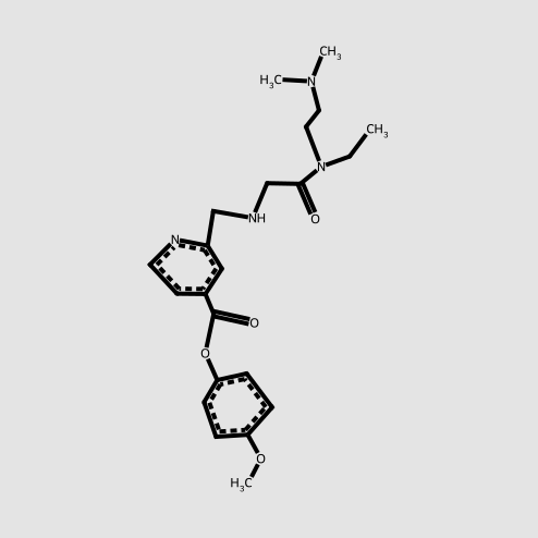 CCN(CCN(C)C)C(=O)CNCc1cc(C(=O)Oc2ccc(OC)cc2)ccn1